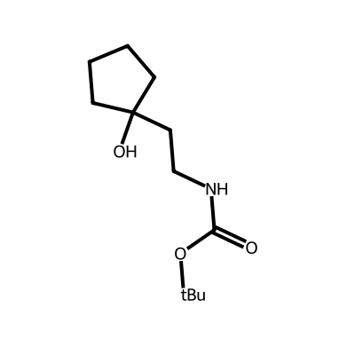 CC(C)(C)OC(=O)NCCC1(O)CCCC1